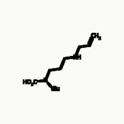 C=CCNCCCN(C(=O)O)C(C)(C)C